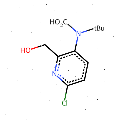 CC(C)(C)N(C(=O)O)c1ccc(Cl)nc1CO